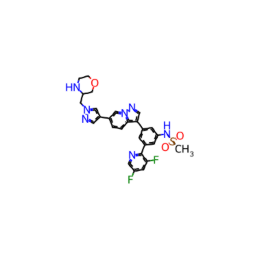 CS(=O)(=O)Nc1cc(-c2ncc(F)cc2F)cc(-c2cnn3cc(-c4cnn(CC5COCCN5)c4)ccc23)c1